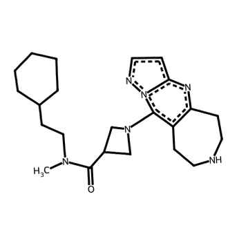 CN(CCC1CCCCC1)C(=O)C1CN(c2c3c(nc4ccnn24)CCNCC3)C1